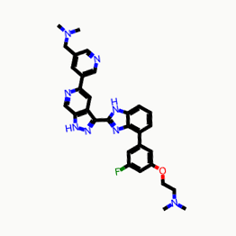 CN(C)CCOc1cc(F)cc(-c2cccc3[nH]c(-c4n[nH]c5cnc(-c6cncc(CN(C)C)c6)cc45)nc23)c1